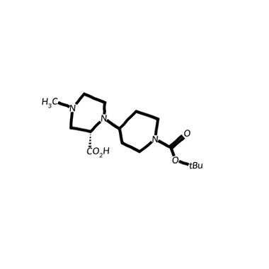 CN1CCN(C2CCN(C(=O)OC(C)(C)C)CC2)[C@H](C(=O)O)C1